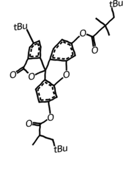 CC(CC(C)(C)C)C(=O)Oc1ccc2c(c1)Oc1cc(OC(=O)C(C)(C)CC(C)(C)C)ccc1C21OC(=O)c2cc(C(C)(C)C)ccc21